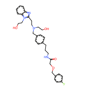 O=C(COCc1ccc(F)cc1)NCCCc1ccc(CN(CCO)CCc2nc3ccccc3n2CCO)cc1